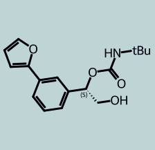 CC(C)(C)NC(=O)O[C@H](CO)c1cccc(-c2ccco2)c1